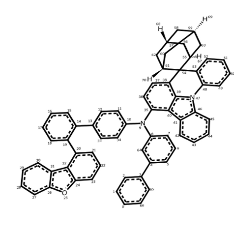 c1ccc(-c2cccc(N(c3ccc(-c4ccccc4-c4cccc5oc6ccccc6c45)cc3)c3ccc4c5c3c3ccccc3n5-c3ccccc3C43[C@H]4C[C@H]5C[C@H](C[C@H]3C5)C4)c2)cc1